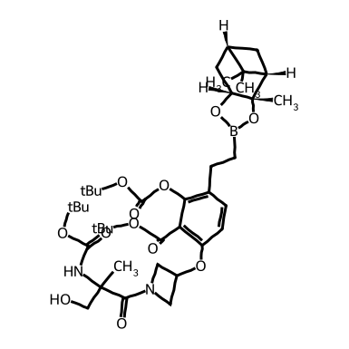 CC(C)(C)OC(=O)NC(C)(CO)C(=O)N1CC(Oc2ccc(CCB3O[C@@H]4C[C@@H]5C[C@@H](C5(C)C)[C@]4(C)O3)c(OC(=O)OC(C)(C)C)c2C(=O)OC(C)(C)C)C1